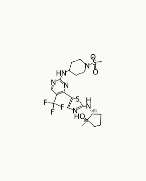 C[C@@]1(O)CCC[C@H]1Nc1ncc(-c2nc(NC3CCN(S(C)(=O)=O)CC3)ncc2C(F)(F)F)s1